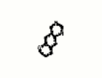 c1cnc2cc3cncnc3cc2c1